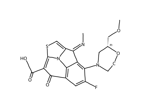 CN=c1c2c(N3CCO[C@@H](COC)C3)c(F)cc3c(=O)c(C(=O)O)c4scc1n4c32